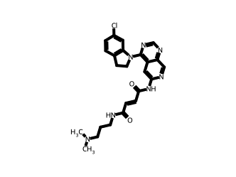 CN(C)CCCNC(=O)C=CC(=O)Nc1cc2c(N3CCc4ccc(Cl)cc43)ncnc2cn1